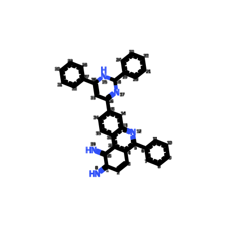 N=C1C=Cc2c(-c3ccccc3)nc3cc(C4=NC(c5ccccc5)NC(c5ccccc5)=C4)ccc3c2C1=N